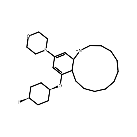 I[C@H]1CC[C@@H](OC2=CC(N3CCOCC3)=CC3NCCCCCCCCCCC23)CC1